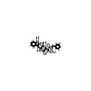 CCCCN(C(=O)OCc1ccccc1)[C@@H]1NC(=O)[C@H](Cc2c[nH]c3ccccc23)NC1=O